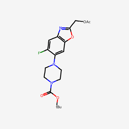 CC(=O)OCc1nc2cc(F)c(N3CCN(C(=O)OC(C)(C)C)CC3)cc2o1